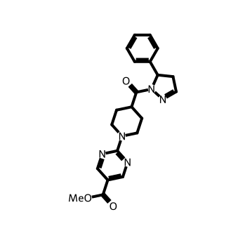 COC(=O)c1cnc(N2CCC(C(=O)N3N=CCC3c3ccccc3)CC2)nc1